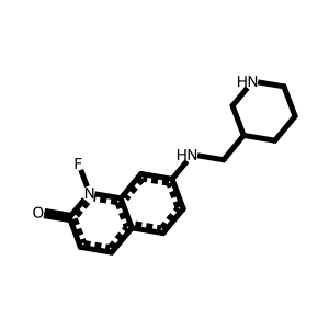 O=c1ccc2ccc(NCC3CCCNC3)cc2n1F